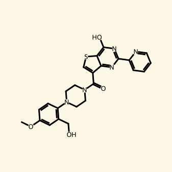 COc1ccc(N2CCN(C(=O)c3csc4c(O)nc(-c5ccccn5)nc34)CC2)c(CO)c1